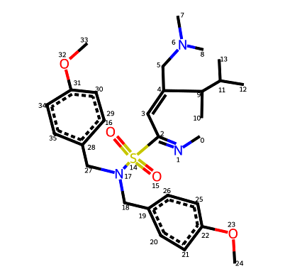 C/N=C(\C=C(\CN(C)C)C(C)C(C)C)S(=O)(=O)N(Cc1ccc(OC)cc1)Cc1ccc(OC)cc1